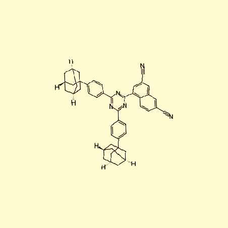 N#Cc1ccc2c(-c3nc(-c4ccc(C56C[C@H]7C[C@@H](C5)C[C@@H](C6)C7)cc4)nc(-c4ccc(C56C[C@H]7C[C@H](C5)C[C@@H](C6)C7)cc4)n3)cc(C#N)cc2c1